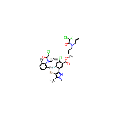 C=CCN(CC=C)C(=O)C(Cl)Cl.CC(C)OC(=O)c1cc(-c2nn(C)c(C(F)(F)F)c2Br)c(F)cc1Cl.CCc1cccc(CC)c1N(COC)C(=O)CCl